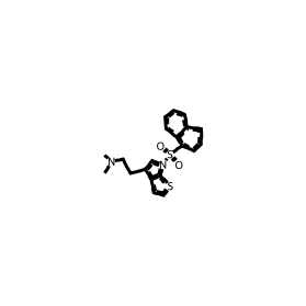 CN(C)CCc1cn(S(=O)(=O)c2cccc3ccccc23)c2sccc12